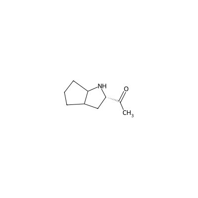 CC(=O)[C@@H]1CC2CCCC2N1